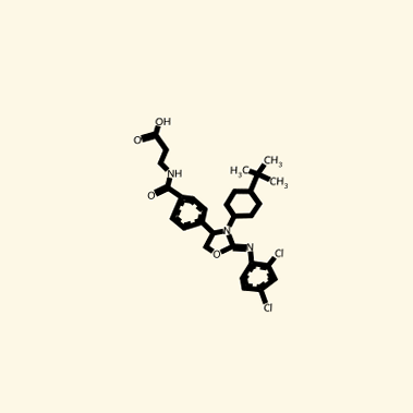 CC(C)(C)C1CCC(N2C(=Nc3ccc(Cl)cc3Cl)OCC2c2ccc(C(=O)NCCC(=O)O)cc2)CC1